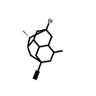 C#CC12CC(C)C3CC4(Br)CC(C3C1)C(C2)[C@@H]4C